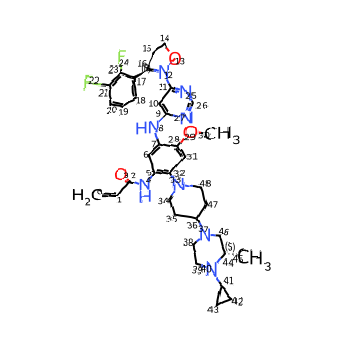 C=CC(=O)Nc1cc(Nc2cc(N3OCC[C@@H]3c3cccc(F)c3F)ncn2)c(OC)cc1N1CCC(N2CCN(C3CC3)[C@@H](C)C2)CC1